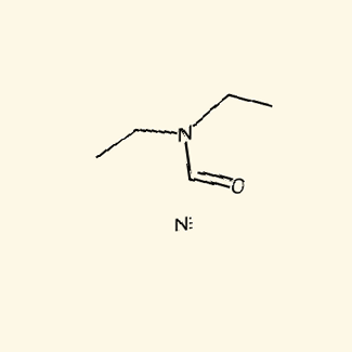 CCN(C=O)CC.[N]